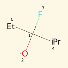 CCC([O])(F)C(C)C